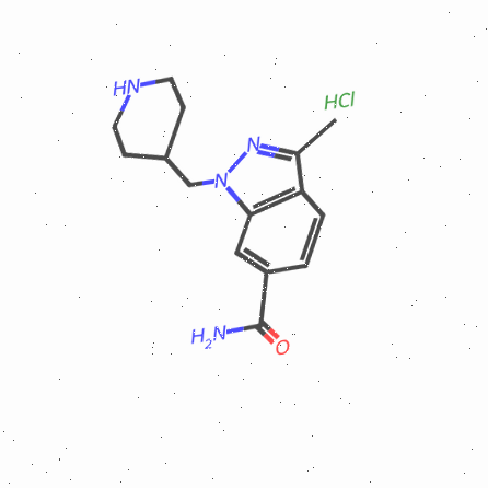 Cc1nn(CC2CCNCC2)c2cc(C(N)=O)ccc12.Cl